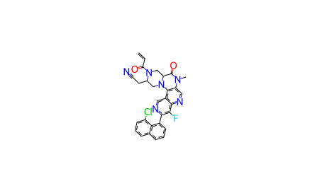 C=CC(=O)N1CC2C(=O)N(C)c3cnc4c(F)c(-c5cccc6cccc(Cl)c56)ncc4c3N2CC1CC#N